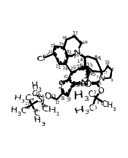 CC(C)(C)OC(=O)N1CCCC12CCC(N1CCCc3cc(Cl)cc(-c4ccnc5cc(CO[Si](C)(C)C(C)(C)C)sc45)c31)C2